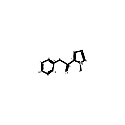 Cn1cccc1C(=O)Cc1ccccc1